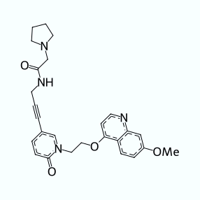 COc1ccc2c(OCCn3cc(C#CCNC(=O)CN4CCCC4)ccc3=O)ccnc2c1